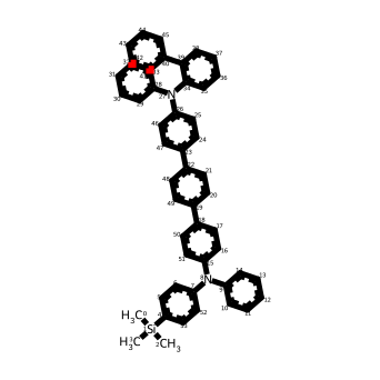 C[Si](C)(C)c1ccc(N(c2ccccc2)c2ccc(-c3ccc(-c4ccc(N(c5ccccc5)c5ccccc5-c5ccccc5)cc4)cc3)cc2)cc1